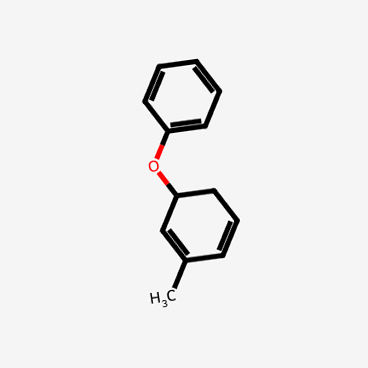 CC1=CC(Oc2ccccc2)CC=C1